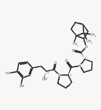 CC1(C)C2CCC1(C)C(OC(=O)[C@@H]1CCCN1C(=O)[C@H]1CCCN1C(=O)[C@H](O)Cc1ccc(O)c(O)c1)C2